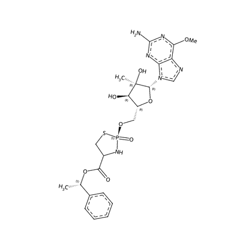 COc1nc(N)nc2c1ncn2[C@@H]1O[C@H](CO[P@@]2(=O)NC(C(=O)O[C@@H](C)c3ccccc3)CS2)[C@@H](O)[C@@]1(C)O